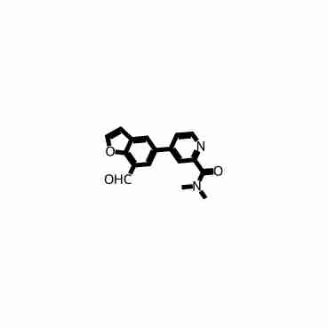 CN(C)C(=O)c1cc(-c2cc(C=O)c3occc3c2)ccn1